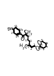 CC(=CCOC1CCCCO1)CCC=C(C)C(=O)c1ccc(Br)cc1